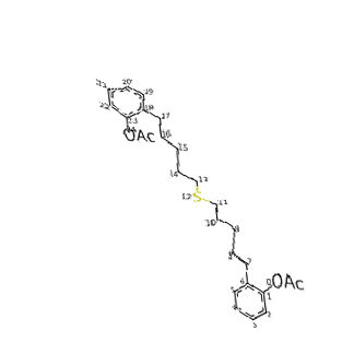 CC(=O)Oc1ccccc1CCCCCSCCCCCc1ccccc1OC(C)=O